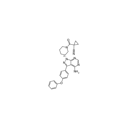 N#CC1(C(=O)N2CCC[C@@H](n3nc(-c4ccc(Oc5ccccc5)cc4)c4c(N)ncnc43)C2)CC1